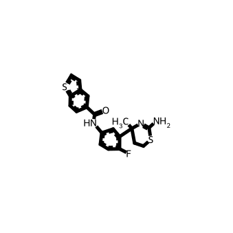 CC1(c2cc(NC(=O)c3ccc4sccc4c3)ccc2F)CCSC(N)=N1